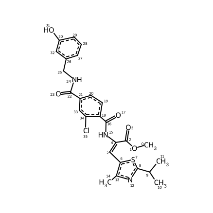 COC(=O)C(=Cc1sc(C(C)C)nc1C)NC(=O)c1ccc(C(=O)NCc2cccc(O)c2)cc1Cl